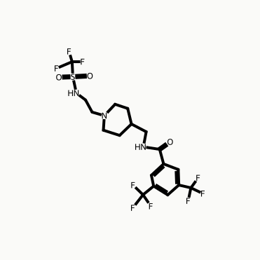 O=C(NCC1CCN(CCNS(=O)(=O)C(F)(F)F)CC1)c1cc(C(F)(F)F)cc(C(F)(F)F)c1